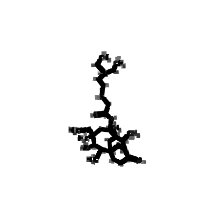 C=CC1(C)CC(OC(=O)CSCCN(CC)CC)C2(C)CC3(CCC(=O)C(C3)C2C)C(C)C1O